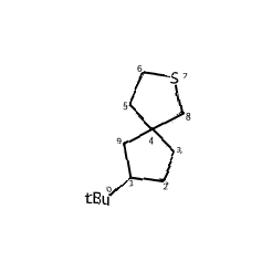 CC(C)(C)C1CCC2(CCSC2)C1